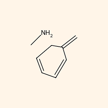 C=C1C=CC=CC1.CN